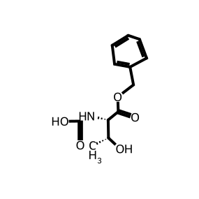 C[C@@H](O)[C@H](NC(=O)O)C(=O)OCc1ccccc1